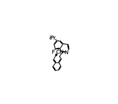 C#C/C=c1/cccc/c1=C/Cc1nccc2cc(C(C)C)cc(F)c12